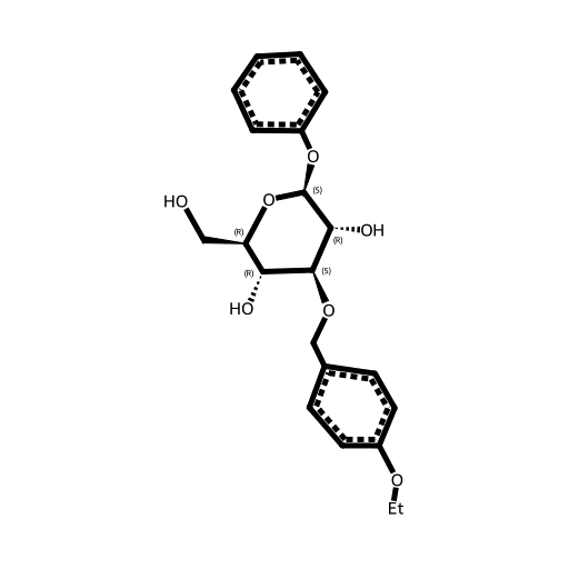 CCOc1ccc(CO[C@@H]2[C@@H](O)[C@H](Oc3ccccc3)O[C@H](CO)[C@H]2O)cc1